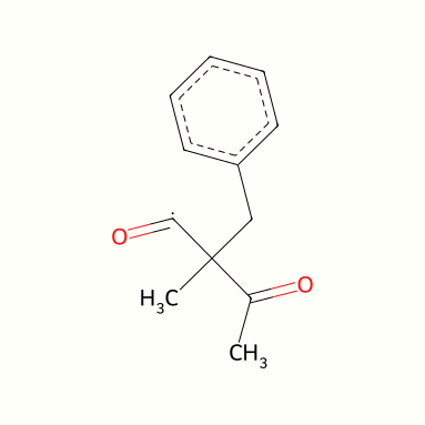 CC(=O)C(C)([C]=O)Cc1ccccc1